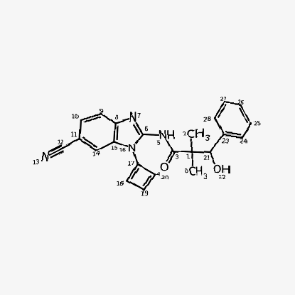 CC(C)(C(=O)Nc1nc2ccc(C#N)cc2n1C1=CC=C1)C(O)c1ccccc1